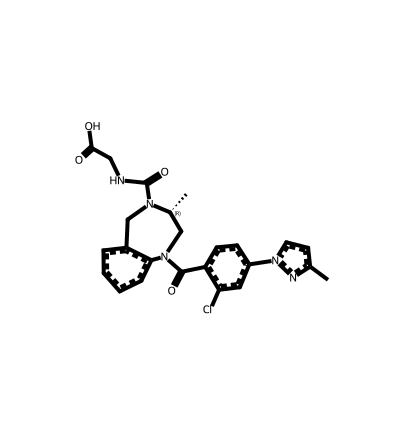 Cc1ccn(-c2ccc(C(=O)N3C[C@@H](C)N(C(=O)NCC(=O)O)Cc4ccccc43)c(Cl)c2)n1